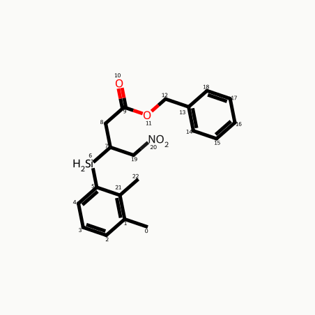 Cc1cccc([SiH2]C(CC(=O)OCc2ccccc2)C[N+](=O)[O-])c1C